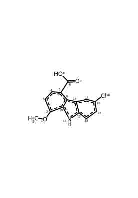 COc1ccc(C(=O)O)c2c1[nH]c1ccc(Cl)cc12